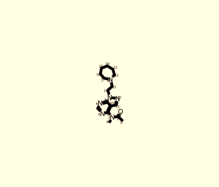 CC(=O)N(C)c1ncnc2c1cnn2CCN1CCCCCC1